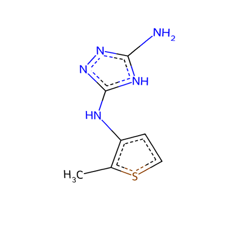 Cc1sccc1Nc1nnc(N)[nH]1